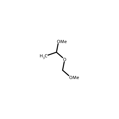 COCOC(C)OC